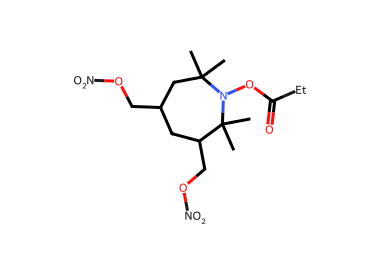 CCC(=O)ON1C(C)(C)CC(CO[N+](=O)[O-])CC(CO[N+](=O)[O-])C1(C)C